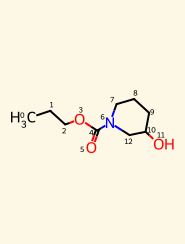 CCCOC(=O)N1CCCC(O)C1